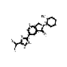 CC[C@@H]1CCCC[C@H]1N1Cc2ncc(-c3nnc(C(F)F)o3)cc2C1=O